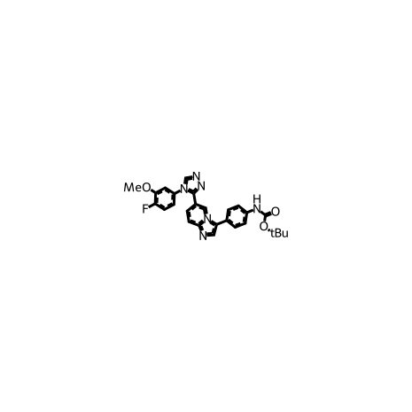 COc1cc(-n2cnnc2-c2ccc3ncc(-c4ccc(NC(=O)OC(C)(C)C)cc4)n3c2)ccc1F